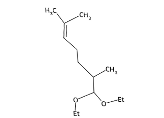 CCOC(OCC)C(C)CCC=C(C)C